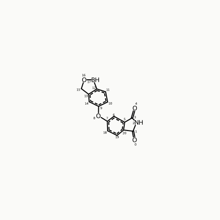 O=C1NC(=O)c2cc(Oc3ccc4c(c3)COB4)ccc21